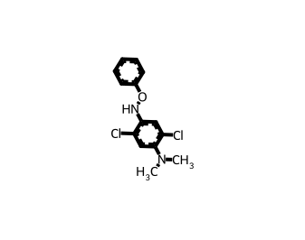 CN(C)c1cc(Cl)c(NOc2ccccc2)cc1Cl